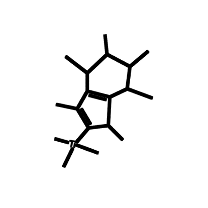 CC1=[C]([Ti]([CH3])([CH3])[CH3])C(C)C2=C1C(C)C(C)C(C)C2C